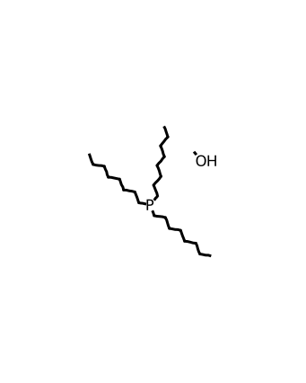 CCCCCCCCP(CCCCCCCC)CCCCCCCC.CO